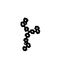 c1ccc(-c2cccc3c2oc2ccc(-c4ccc(N(c5ccc(-c6cccc7ccccc67)cc5)c5ccc(-c6cccc7c6sc6ccccc67)cc5)cc4)cc23)cc1